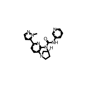 Cn1nccc1-c1ccc2c(n1)N(C(=O)Nc1cccnc1)[C@H]1CCN2C1